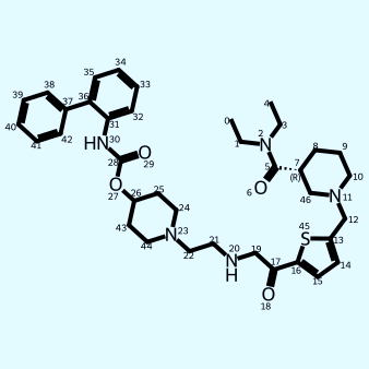 CCN(CC)C(=O)[C@@H]1CCCN(Cc2ccc(C(=O)CNCCN3CCC(OC(=O)Nc4ccccc4-c4ccccc4)CC3)s2)C1